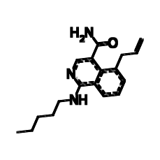 C=CCc1cccc2c(NCCCCC)ncc(C(N)=O)c12